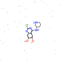 COc1cc2nc(Cl)nc(NC3CCCNC3)c2cc1OC